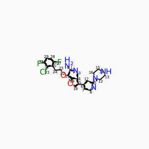 Nc1ncc2c(-c3ccnc(N4CCNCC4)c3)coc2c1OCCc1c(F)ccc(F)c1Cl